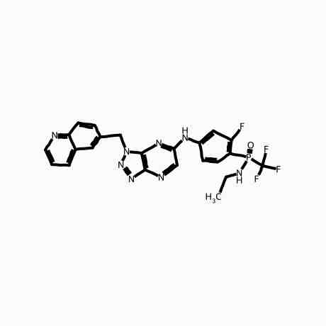 CCNP(=O)(c1ccc(Nc2cnc3nnn(Cc4ccc5ncccc5c4)c3n2)cc1F)C(F)(F)F